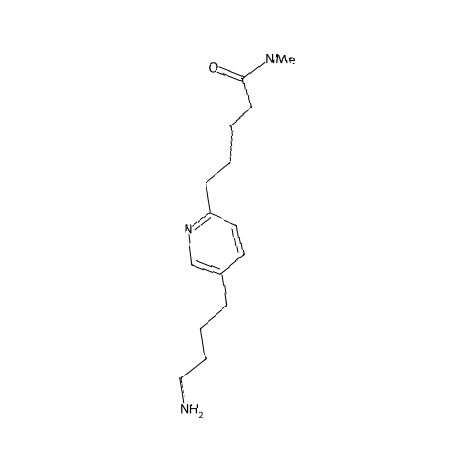 CNC(=O)CCCCc1ccc(CCCCN)cn1